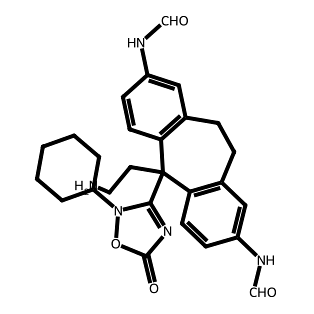 NCCC1(c2nc(=O)on2C2CCCCC2)c2ccc(NC=O)cc2CCc2cc(NC=O)ccc21